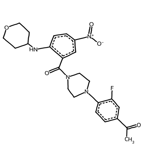 CC(=O)c1ccc(N2CCN(C(=O)c3cc([N+](=O)[O-])ccc3NC3CCOCC3)CC2)c(F)c1